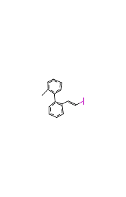 Cc1ccccc1-c1ccccc1/C=C/I